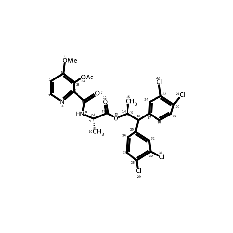 COc1ccnc(C(=O)N[C@@H](C)C(=O)O[C@@H](C)C(c2ccc(Cl)c(Cl)c2)c2ccc(Cl)c(Cl)c2)c1OC(C)=O